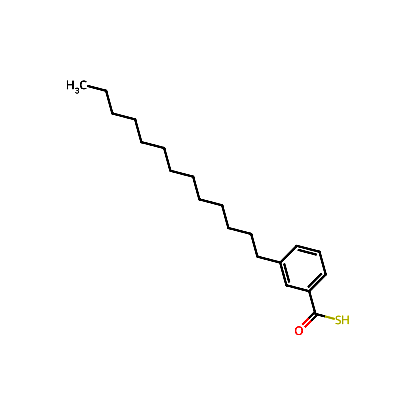 CCCCCCCCCCCCCc1cccc(C(=O)S)c1